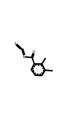 Cc1cccc(C(=O)N=C=S)c1C